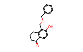 O=C1CCCc2c1ccc(O)c2COCc1ccccc1